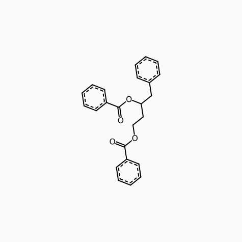 O=C(OCCC(Cc1ccccc1)OC(=O)c1ccccc1)c1ccccc1